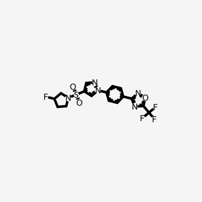 O=S(=O)(c1cnn(-c2ccc(-c3noc(C(F)(F)F)n3)cc2)c1)N1CCC(F)C1